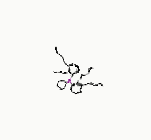 CCCCc1cccc(P(c2cccc(CCCC)c2CCCC)C2CCCCC2)c1CCCC